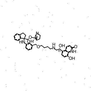 O=C(O[C@H]1CN2CCC1CC2)C1(Nc2cccc(COCCCCNC[C@H](O)c3ccc(O)c4[nH]c(=O)ccc34)c2)CCc2ccccc21